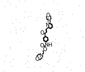 O=C(Nc1ccc(C(=O)C=Cc2cccc(N3CCOCC3)n2)cc1)OCCN1CCOCC1